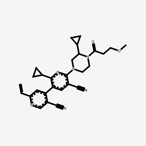 C=Cc1cc(-c2cc(C#N)c(N3CCN(C(=O)CCOC)C(C4CC4)C3)nc2C2CC2)c(C#N)cn1